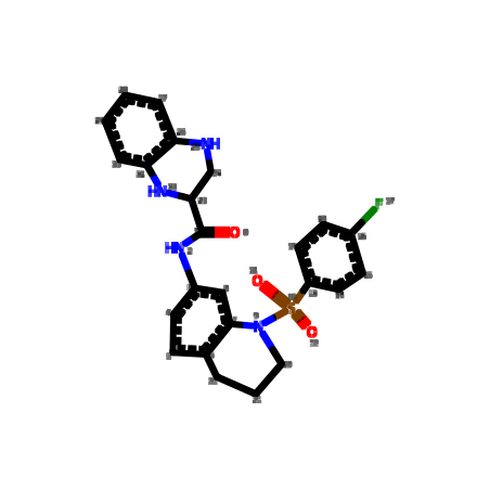 O=C(Nc1ccc2c(c1)N(S(=O)(=O)c1ccc(F)cc1)CCC2)C1CNc2ccccc2N1